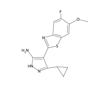 COc1cc2sc(-c3c(C4CC4)n[nH]c3N)nc2cc1F